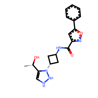 C[C@H](O)C1=CNNN1[C@H]1C[C@H](NC(=O)c2cc(-c3ccccc3)on2)C1